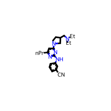 CCCc1cc(N2CCC(CN(CC)CC)C2)nc(Nc2cccc(C#N)c2)n1